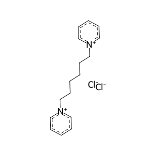 [Cl-].[Cl-].c1cc[n+](CCCCCC[n+]2ccccc2)cc1